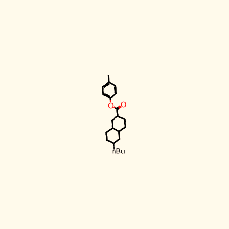 CCCCC1CCC2CC(C(=O)Oc3ccc(C)cc3)CCC2C1